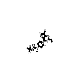 CCc1nc(N2CCC(NC(=O)OC(C)(C)C)CC2)c2scc(C)c2n1